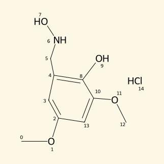 COc1cc(CNO)c(O)c(OC)c1.Cl